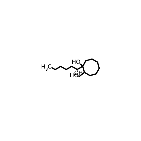 CCCCCC(O)C1(O)CCCCCCC1CO